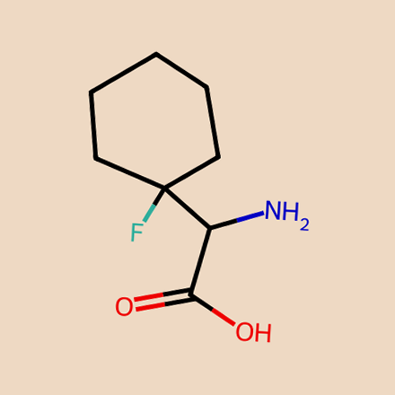 NC(C(=O)O)C1(F)CCCCC1